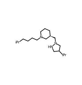 CC(C)CCCCN1CCC[C@@H](CN2CC(C(C)C)CN2)C1